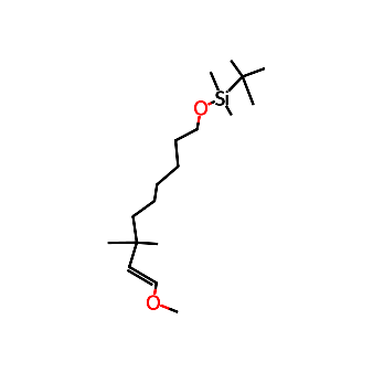 COC=CC(C)(C)CCCCCCO[Si](C)(C)C(C)(C)C